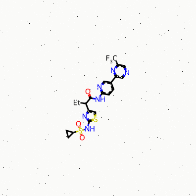 CCC(C(=O)Nc1ccc(-c2cncc(C(F)(F)F)n2)cn1)c1csc(NS(=O)(=O)C2CC2)n1